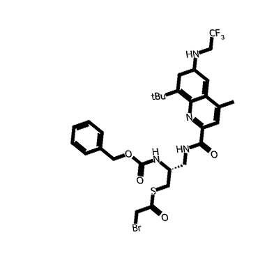 Cc1cc(C(=O)NC[C@H](CSC(=O)CBr)NC(=O)OCc2ccccc2)nc2c1=CC(NCC(F)(F)F)CC=2C(C)(C)C